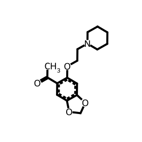 CC(=O)c1cc2c(cc1OCCN1CCCCC1)OCO2